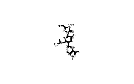 CCCn1c(CF)nn(-c2nc(OC(C)C(F)(F)F)c(C(=O)Nc3c(C)n[nH]c3Cl)cc2F)c1=O